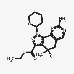 CCOC(=O)c1nn(C2CCCCO2)c2c1C(C)(C)Cc1cnc(N)nc1-2